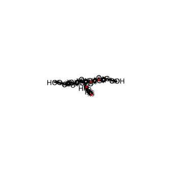 O=C(Oc1ccc(OCCOCCO)cc1)C1CCC(C(=O)Oc2ccc(OC(=O)C3CCC(C(=O)Oc4ccc(OCCOCCO)cc4)CC3)c(/C=N/Nc3nc4ccccc4s3)c2)CC1